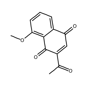 COc1cccc2c1C(=O)C(C(C)=O)=CC2=O